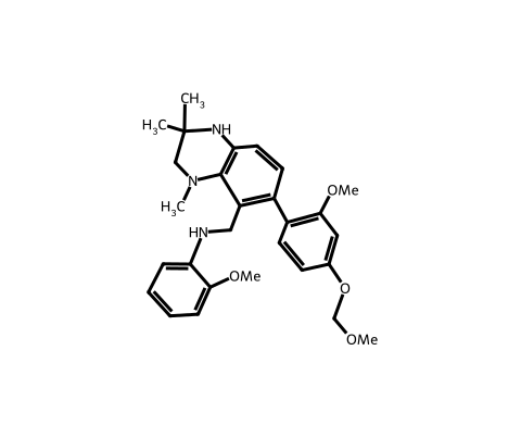 COCOc1ccc(-c2ccc3c(c2CNc2ccccc2OC)N(C)CC(C)(C)N3)c(OC)c1